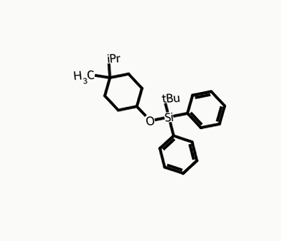 CC(C)C1(C)CCC(O[Si](c2ccccc2)(c2ccccc2)C(C)(C)C)CC1